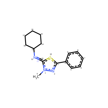 Cn1nc(-c2ccccc2)s/c1=N\C1CCCCC1